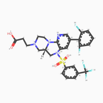 O=C(O)CCN1CCN2c3ncc(-c4c(F)cccc4F)cc3N(S(=O)(=O)c3cccc(C(F)(F)F)c3)C[C@@H]2C1